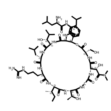 CC[C@H](C)[C@@H]1NC(=O)[C@@H](CCCNC(=N)N)NC(=O)[C@H](CC(C)C)NC(=O)[C@H]([C@H](O)C(C)C)NC(=O)[C@@H](NC(=O)[C@H](CC(C)C)NC(=O)[C@H](N)CC(C)C)[C@@H](c2ccccc2)OC(=O)[C@H](CO)NC(=O)[C@H]([C@H](O)C(=O)N(C)C)NC(=O)CNC(=O)[C@H]([C@H](C)O)NC1=O